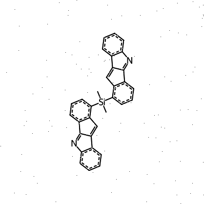 C[Si](C)(c1cccc2c1C=C1C2=Nc2ccccc21)c1cccc2c1C=C1C2=Nc2ccccc21